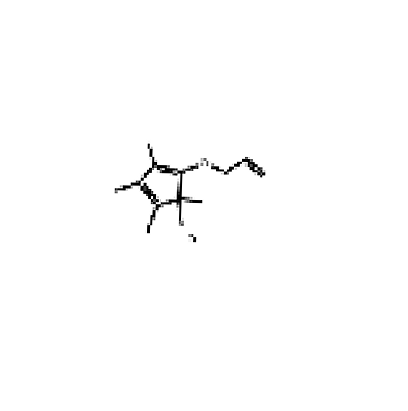 C=C[CH2][Cr][C]1=C(C)C(C)=C(C)C1(C)C.[Cr]